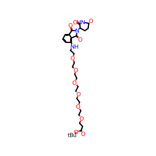 CC(C)(C)OC(=O)CCOCCOCCOCCOCCOCCOCCNc1cccc2c1C(=O)N(C1CCC(=O)NC1=O)C2=O